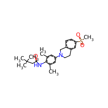 Cc1cc(N2CCc3cc(S(C)(=O)=O)ccc3C2)cc(C)c1NC(=O)CC(C)(C)C